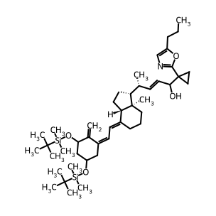 C=C1C(=CC=C2CCC[C@]3(C)[C@@H]([C@H](C)C=CC(O)C4(c5ncc(CCC)o5)CC4)CC[C@@H]23)CC(O[Si](C)(C)C(C)(C)C)CC1O[Si](C)(C)C(C)(C)C